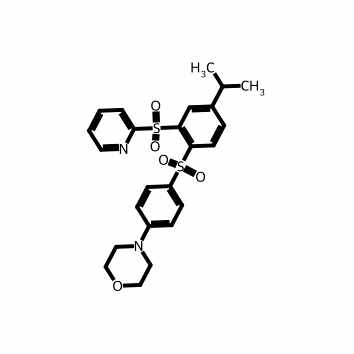 CC(C)c1ccc(S(=O)(=O)c2ccc(N3CCOCC3)cc2)c(S(=O)(=O)c2ccccn2)c1